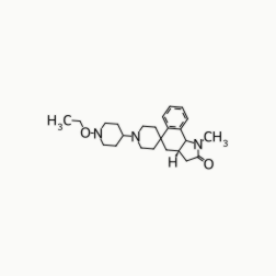 CCON1CCC(N2CCC3(CC2)C[C@H]2CC(=O)N(C)C2c2ccccc23)CC1